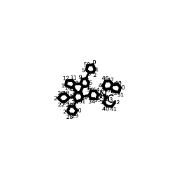 c1ccc(-c2ccc3c(c2)c2ccccc2c2c(-c4ccccc4)c(-c4ccccc4)cc(-c4ccc(N(c5ccccc5)c5cccc6ccccc56)cc4)c32)cc1